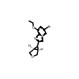 CCOc1cc(Br)cn2cc(C3[C@H]4COC[C@@H]34)nc12